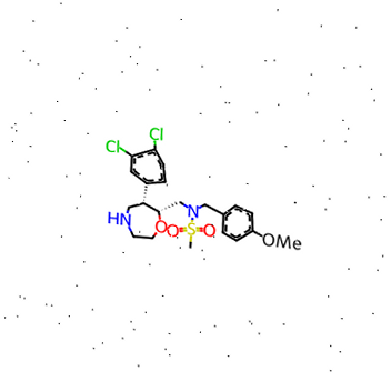 COc1ccc(CN(C[C@@H]2OCCNC[C@@H]2c2ccc(Cl)c(Cl)c2)S(C)(=O)=O)cc1